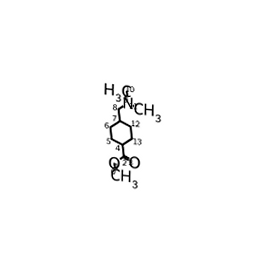 COC(=O)C1CCC(CN(C)C)CC1